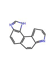 c1cnc2ccc3ccc4nc[nH]c4c3c2c1